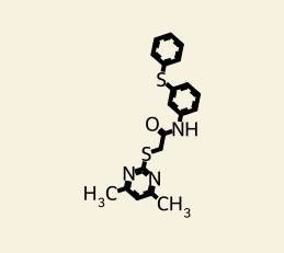 Cc1cc(C)nc(SCC(=O)Nc2cccc(Sc3ccccc3)c2)n1